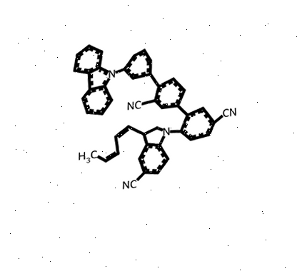 C/C=C\C=C/C1CN(c2ccc(C#N)cc2-c2ccc(-c3cccc(-n4c5ccccc5c5ccccc54)c3)c(C#N)c2)c2ccc(C#N)cc21